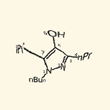 CCCCn1nc(CCC)c(O)c1C(C)C